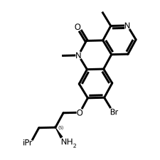 Cc1nccc2c1c(=O)n(C)c1cc(OC[C@@H](N)CC(C)C)c(Br)cc21